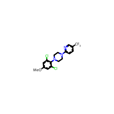 COc1cc(Cl)c(N2CCN(c3ccc(C(F)(F)F)cn3)CC2)c(Cl)c1